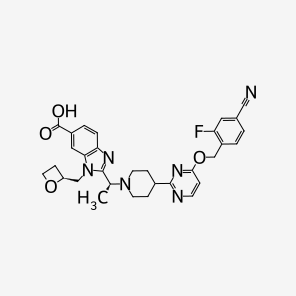 C[C@@H](c1nc2ccc(C(=O)O)cc2n1C[C@@H]1CCO1)N1CCC(c2nccc(OCc3ccc(C#N)cc3F)n2)CC1